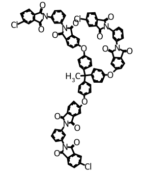 CC(c1ccc(Oc2ccc3c(c2)C(=O)N(c2cccc(N4C(=O)c5ccc(Cl)cc5C4=O)c2)C3=O)cc1)(c1ccc(Oc2ccc3c(c2)C(=O)N(c2cccc(N4C(=O)c5ccc(Cl)cc5C4=O)c2)C3=O)cc1)c1ccc(Oc2ccc3c(c2)C(=O)N(c2cccc(N4C(=O)c5ccc(Cl)cc5C4=O)c2)C3=O)cc1